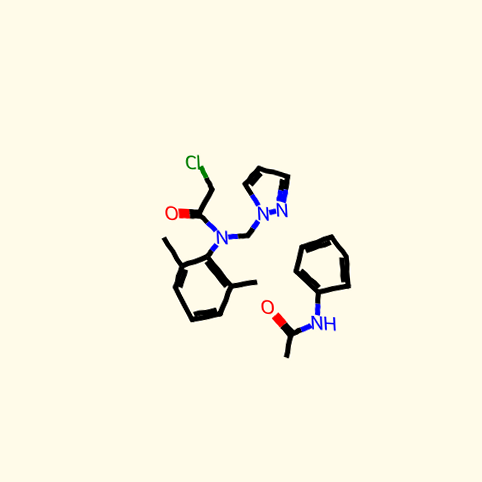 CC(=O)Nc1ccccc1.Cc1cccc(C)c1N(Cn1cccn1)C(=O)CCl